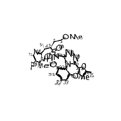 COCC[C@H]([C@@H](C)c1ncc(F)cn1)S(=O)(=O)Nc1nnc(-c2ccc(C)o2)n1-c1c(OC)cccc1OC